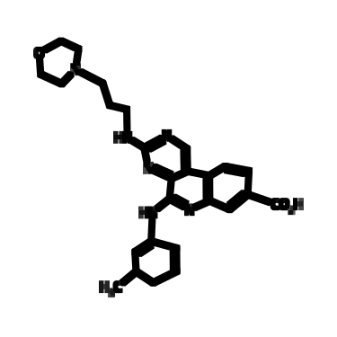 CC1C=C(Nc2nc3cc(C(=O)O)ccc3c3cnc(NCCCN4CCOCC4)nc23)C=CC1